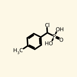 Cc1ccc(C(Cl)P(=O)(O)O)cc1